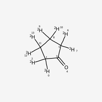 [2H]C1([2H])C(=O)C([2H])([2H])C([2H])([2H])C1([2H])[2H]